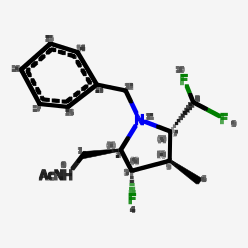 CC(=O)NC[C@@H]1[C@@H](F)[C@H](C)[C@@H](C(F)F)N1Cc1ccccc1